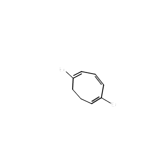 CCC1=CCCC(CC)=CC=C1